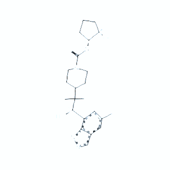 CC(C)(C1CCN(C(=O)N[C@H]2CCC[C@H]2O)CC1)[C@H](O)c1cc(Cl)cc2cn[nH]c12